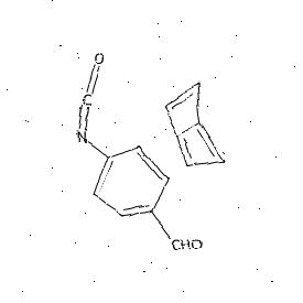 O=C=Nc1ccc(C=O)cc1.c1cc2ccc1-2